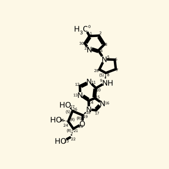 Cc1ccc(N2CC[C@H](Nc3ncnc4c3ncn4[C@@H]3O[C@H](CO)[C@H](O)[C@@H]3O)C2)nc1